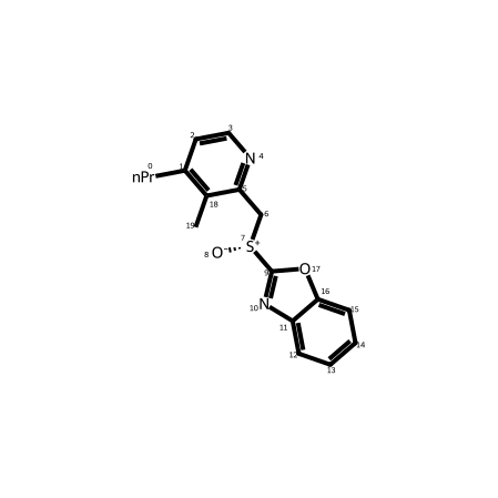 CCCc1ccnc(C[S@@+]([O-])c2nc3ccccc3o2)c1C